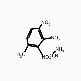 Cc1ccc([N+](=O)[O-])c([N+](=O)[O-])c1[N+](=O)[O-].N[N+](=O)[O-]